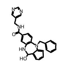 O=C(NCc1cncnc1)c1ccc2c(c1)NC(O)c1ccccc1N2Cc1ccccc1